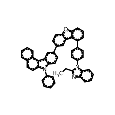 CCc1nc2ccccc2n1-c1ccc(-c2cccc3oc4ccc(-c5ccc6c(c5)c5c7ccccc7ccc5n6-c5ccccc5)cc4c23)cc1